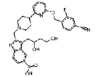 N#Cc1ccc(COc2cccc(C3CCN(Cc4nc5ccc(C(=O)O)cc5n4CC(O)CCO)CC3)n2)c(F)c1